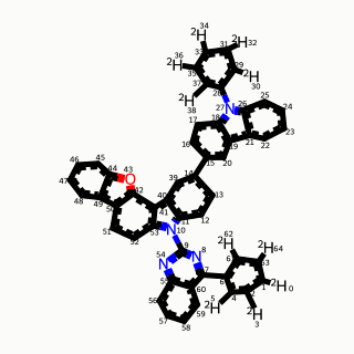 [2H]c1c([2H])c([2H])c(-c2nc(-n3c4ccc(-c5ccc6c(c5)c5ccccc5n6-c5c([2H])c([2H])c([2H])c([2H])c5[2H])cc4c4c5oc6ccccc6c5ccc43)nc3ccccc23)c([2H])c1[2H]